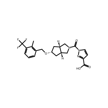 Cc1c(CO[C@@H]2C[C@@H]3CN(C(=O)n4ccc(C(=O)O)n4)C[C@@H]3C2)cccc1C(F)(F)F